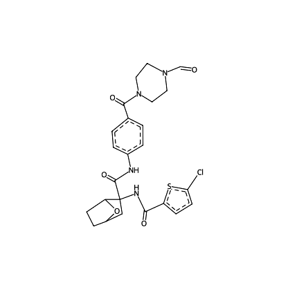 O=CN1CCN(C(=O)c2ccc(NC(=O)C3(NC(=O)c4ccc(Cl)s4)CC4CCC3O4)cc2)CC1